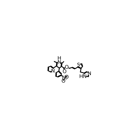 CC1=C(C(=O)OCC=Cc2sccc2Cc2cnc[nH]2)C(c2cccc([N+](=O)[O-])c2)C(c2ccccn2)=C(C)N1